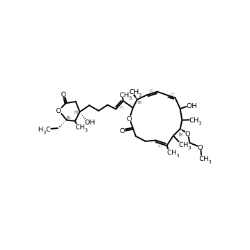 CC[C@@H]1OC(=O)C[C@@](O)(CCC/C=C(\C)C2OC(=O)CC/C=C(\C)C(C)[C@H](OCOC)C(C)C(O)/C=C\C=C/[C@@H]2C)C1C